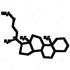 C[C@H](CCOS(=O)(=O)O)C1CCC2C3CCC4CCCCC4(C)C3CCC21C